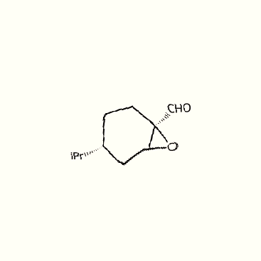 CC(C)[C@@H]1CC[C@@]2(C=O)OC2C1